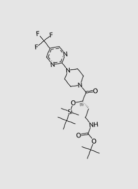 CC(C)(C)OC(=O)NCC[C@H](O[Si](C)(C)C(C)(C)C)C(=O)N1CCN(c2ncc(C(F)(F)F)cn2)CC1